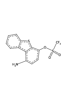 Nc1ccc(OS(=O)(=O)C(F)(F)F)c2sc3ccccc3c12